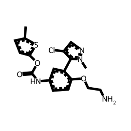 Cc1ccc(OC(=O)Nc2ccc(OCCN)c(-c3c(Cl)cnn3C)c2)s1